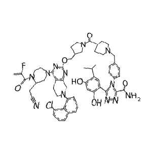 C=C(F)C(=O)N1CCN(c2nc(OCC3CCN(C(=O)C4CCN(Cc5ccc(-n6c(C(N)=O)nnc6-c6cc(C(C)C)c(O)cc6O)cc5)CC4)C3)nc3c2CCN(c2cccc4cccc(Cl)c24)C3)CC1CC#N